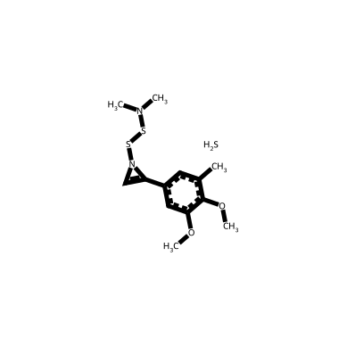 COc1cc(C2=CN2SSN(C)C)cc(C)c1OC.S